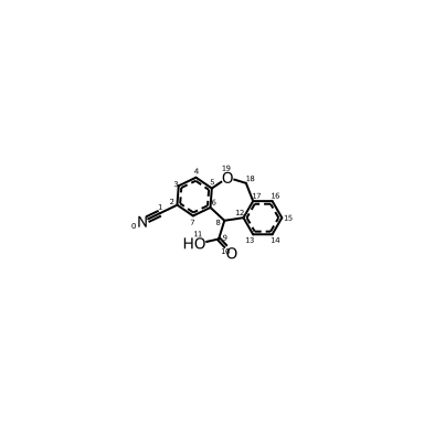 N#Cc1ccc2c(c1)C(C(=O)O)c1ccccc1CO2